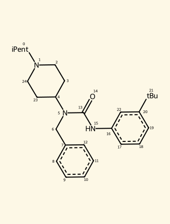 CCCC(C)N1CCC(N(Cc2ccccc2)C(=O)Nc2cccc(C(C)(C)C)c2)CC1